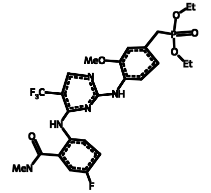 CCOP(=O)(Cc1ccc(Nc2ncc(C(F)(F)F)c(Nc3ccc(F)cc3C(=O)NC)n2)c(OC)c1)OCC